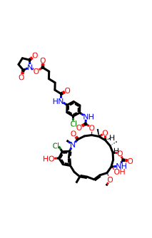 CO[C@@H]1/C=C/C=C(\C)Cc2cc(O)c(Cl)c(c2)N(C)C(=O)C[C@H](OC(=O)Nc2ccc(NC(=O)CCCCC(=O)ON3C(=O)CCC3=O)cc2Cl)[C@]2(C)O[C@H]2[C@H](C)[C@@H]2C[C@@]1(O)NC(=O)O2